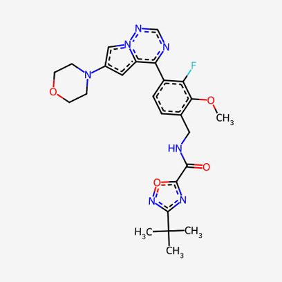 COc1c(CNC(=O)c2nc(C(C)(C)C)no2)ccc(-c2ncnn3cc(N4CCOCC4)cc23)c1F